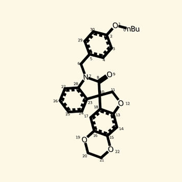 CCCCOc1ccc(CN2C(=O)C3(COc4cc5c(cc43)OCCO5)c3ccccc32)cc1